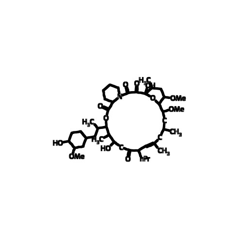 CCCC1/C=C(\C)CC(C)CC(OC)C2OC(O)(C(=O)C(=O)N3CCCCC3C(=O)OC(C(C)CC3CCC(O)C(OC)C3)C(C)C(O)CC1=O)C(C)CC2OC